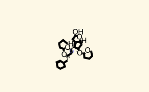 OC1C[C@@H]2[C@@H](/C=C/[C@H](CC3C=CCCC3)OC3CCCCO3)[C@H](OC3CCCCO3)C[C@@H]2O1